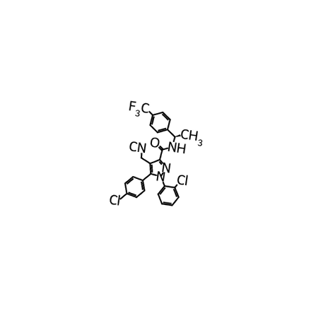 C[C@@H](NC(=O)c1nn(-c2ccccc2Cl)c(-c2ccc(Cl)cc2)c1CC#N)c1ccc(C(F)(F)F)cc1